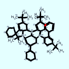 CC(C)(C)C1C=C(C2C=CC=CC2)C(N2C3CCC(C(C)(C)C)C=C3B3C4CC(C(C)(C)C)C=C5C4N(C4CC(C6CCCCC6)CC2C34)C(C)(C)C52CCCCC2)=CC1